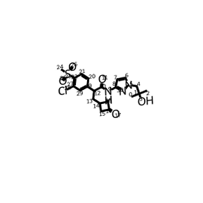 CC(C)(O)Cn1ccc(NC(=O)C(CC2CC(=O)C2)c2ccc(S(C)(=O)=O)c(Cl)c2)n1